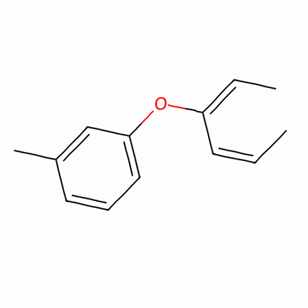 C/C=C\C(=C/C)Oc1cccc(C)c1